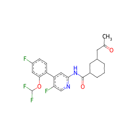 CC(=O)CC1CCCC(C(=O)Nc2cc(-c3ccc(F)cc3OC(F)F)c(F)cn2)C1